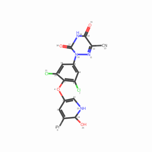 CC(C)C1=CC(Oc2c(Cl)cc(-n3nc(C#N)c(=O)[nH]c3=O)cc2Cl)=CNC1O